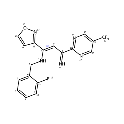 N=C(/C=C(\NCc1ccccc1F)c1ccon1)c1ncc(C(F)(F)F)cn1